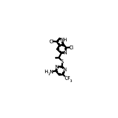 CC(Sc1nc(N)cc(C(F)(F)F)n1)c1cc2c(Cl)c[nH]c2c(Cl)n1